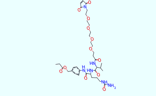 CCC(=O)OCc1ccc(NC(=O)C(CCCNC(N)=O)NC(=O)[C@@H](NC(=O)CCOCCOCCOCCOCCN2C(=O)C=CC2=O)C(C)C)cc1